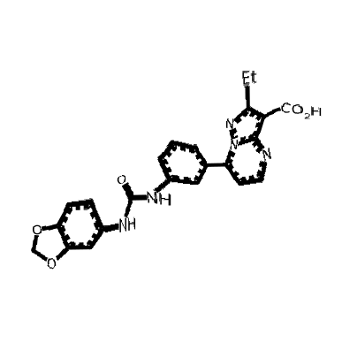 CCc1nn2c(-c3cccc(NC(=O)Nc4ccc5c(c4)OCO5)c3)ccnc2c1C(=O)O